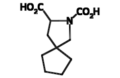 O=C(O)C1CC2(CCCC2)CN1C(=O)O